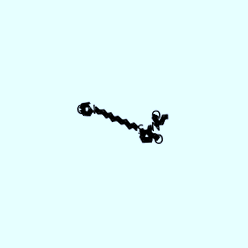 CCCC(C=O)N(C)Cc1c(C=O)cccc1SCCCCCCCCCCCCN1CCOCC1